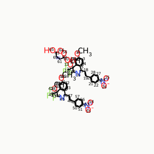 COc1ccc2c(c1)C(OC)(C(F)(F)F)CN=C2C=Cc1ccc([N+](=O)[O-])cc1.COc1ccc2c(c1)C(OC)(C(F)(F)F)CN=C2C=Cc1ccc([N+](=O)[O-])cc1.O=C(O)/C=C\C(=O)O